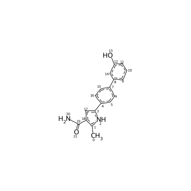 Cc1[nH]c(-c2ccc(-c3cccc(O)c3)cc2)cc1C(N)=O